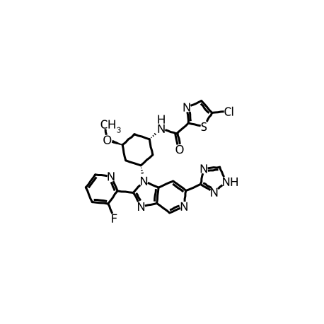 CO[C@H]1C[C@H](NC(=O)c2ncc(Cl)s2)C[C@H](n2c(-c3ncccc3F)nc3cnc(-c4nc[nH]n4)cc32)C1